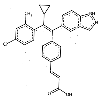 Cc1cc(Cl)ccc1/C(=C(\c1ccc(/C=C/C(=O)O)cc1)c1ccc2[nH]ncc2c1)C1CC1